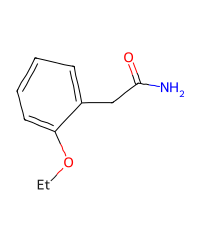 CCOc1ccccc1CC(N)=O